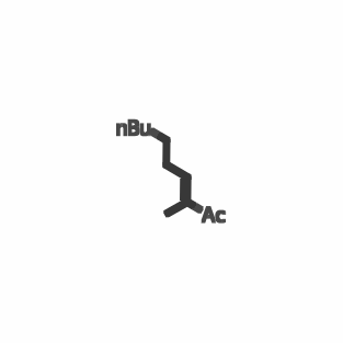 CCCCCCC=C(C)C(C)=O